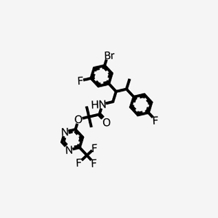 CC(c1ccc(F)cc1)C(CNC(=O)C(C)(C)Oc1cc(C(F)(F)F)ncn1)c1cc(F)cc(Br)c1